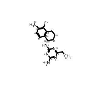 CCc1nc(N)nc(N[C@H]2CCCc3c2ccc(C)c3F)n1